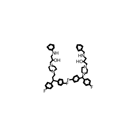 OC(CNCc1ccccc1)CN1CCN(C(c2ccc(F)cc2)c2ccc(F)cc2)CC1.OC(CNc1ccccc1)CN1CCN(CCC(c2ccc(F)cc2)c2ccc(F)cc2)CC1